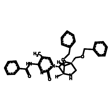 Cc1cn([C@@H]2O[C@@]3(COCc4ccccc4)CN[C@@H]2[C@@H]3OCc2ccccc2)c(=O)nc1NC(=O)c1ccccc1